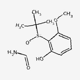 COc1cccc(O)c1[S+]([O-])C(C)(C)C.NC=O